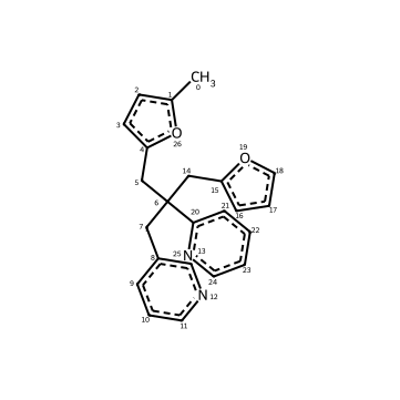 Cc1ccc(CC([CH]c2cccnc2)(Cc2ccco2)c2ccccn2)o1